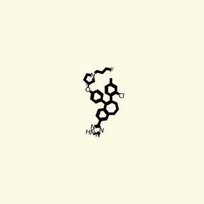 Cc1ccc(C2=C(c3ccc(O[C@H]4CCN(CCCF)C4)cc3)c3ccc(-c4nn[nH]n4)cc3CCC2)c(Cl)c1